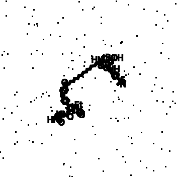 CCN(c1cc(-c2ccc(CN3CCN(C(=O)CCCCCCCCCCCCCCC(=O)N[C@H](C(=O)C4C[C@H](O)C[C@@H]4C(=O)NCc4ccc(-c5scnc5C)cc4)C(C)(C)C)CC3)cc2)cc(C(=O)NCc2c(C)cc(C)[nH]c2=O)c1C)C1CCOCC1